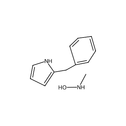 CNO.c1ccc(Cc2ccc[nH]2)cc1